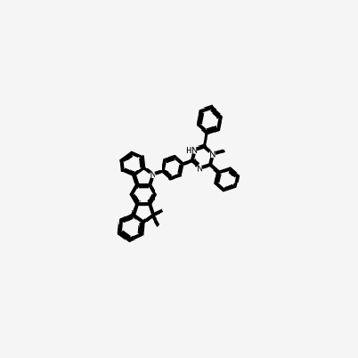 CN1C(c2ccccc2)N=C(c2ccc(-n3c4ccccc4c4cc5c(cc43)C(C)(C)c3ccccc3-5)cc2)NC1c1ccccc1